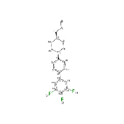 CCC[C@H]1CC[C@@H](c2ccc(-c3cc(F)c(F)c(F)c3)cc2)CC1